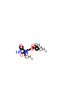 CCc1nn(CCCOC(=O)c2ccc(C)cc2C)c2c1C(=O)NCC1(CCOCC1)C2